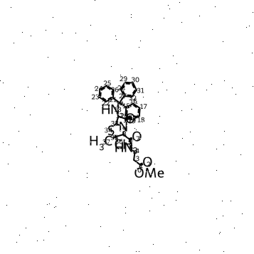 COC(=O)CCNC(=O)C1N2C(=O)C(NC(c3ccccc3)(c3ccccc3)c3ccccc3)C2SC1(C)C